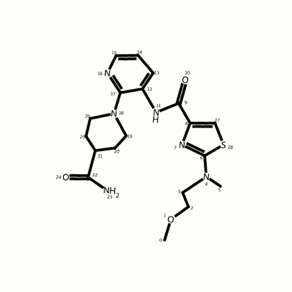 COCCN(C)c1nc(C(=O)Nc2cccnc2N2CCC(C(N)=O)CC2)cs1